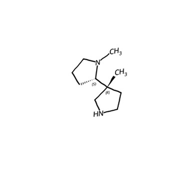 CN1CCC[C@H]1[C@]1(C)CCNC1